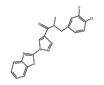 CN(Cc1ccc(Cl)c(F)c1)C(=O)c1cnn(-c2nc3ccccc3s2)c1